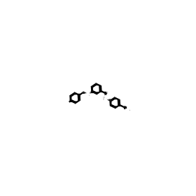 N#Cc1ccc(NC(=O)c2cccc(NCc3ccc(F)cc3)c2)cc1